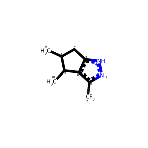 CC1Cc2[nH]nc(C(F)(F)F)c2C1C